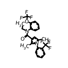 CCN(C(=O)c1cc(C)n(-c2ccccc2C(F)(F)F)c1C)c1ccccc1OC(F)(F)F